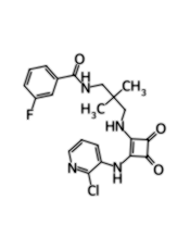 CC(C)(CNC(=O)c1cccc(F)c1)CNc1c(Nc2cccnc2Cl)c(=O)c1=O